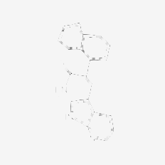 NC(=O)C(=Cc1c[nH]c2ncccc12)c1cccc2ccccc12